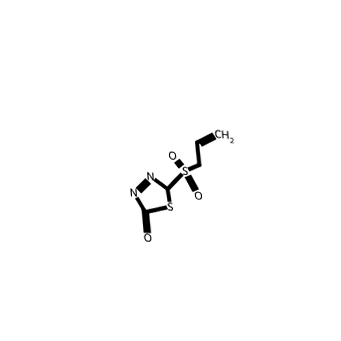 C=CCS(=O)(=O)C1N=NC(=O)S1